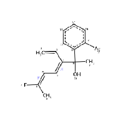 C=C/C(=C\C=C(/C)F)C(C)(O)c1ccccc1C(C)=O